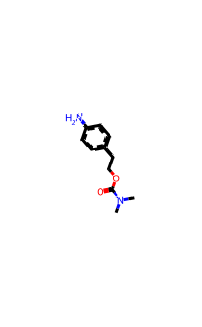 CN(C)C(=O)OCCc1ccc(N)cc1